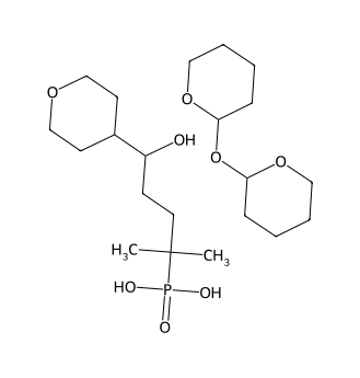 C1CCC(OC2CCCCO2)OC1.CC(C)(CCC(O)C1CCOCC1)P(=O)(O)O